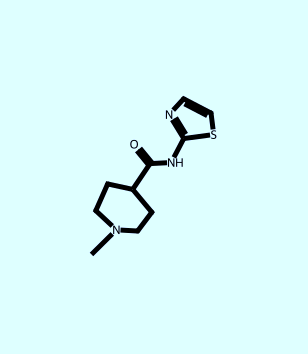 CN1CCC(C(=O)Nc2nccs2)CC1